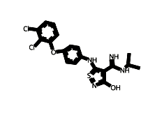 CC(C)NC(=N)c1c(O)nsc1Nc1ccc(Oc2cccc(Cl)c2Cl)cc1